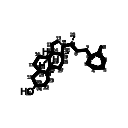 Cc1ccccc1CC[C@@H](C)[C@H]1CC[C@H]2[C@@H]3CCC4C[C@@H](O)CC[C@]4(C)[C@H]3CC[C@]12C